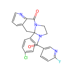 O=C(c1ccc(F)nc1)N1CCN2C(=O)c3ncccc3CC12c1ccc(Cl)cc1